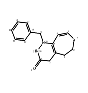 O=C1CC2=C(C=CSCC2)N(Cc2ccccc2)N1